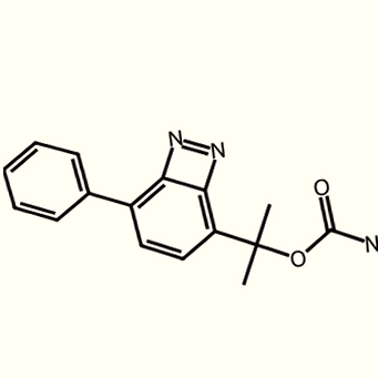 CC(C)(OC(N)=O)c1ccc(-c2ccccc2)c2c1N=N2